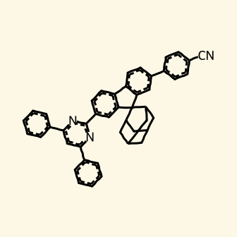 N#Cc1ccc(-c2ccc3c(c2)C2(c4cc(-c5nc(-c6ccccc6)cc(-c6ccccc6)n5)ccc4-3)C3CC4CC(C3)CC2C4)cc1